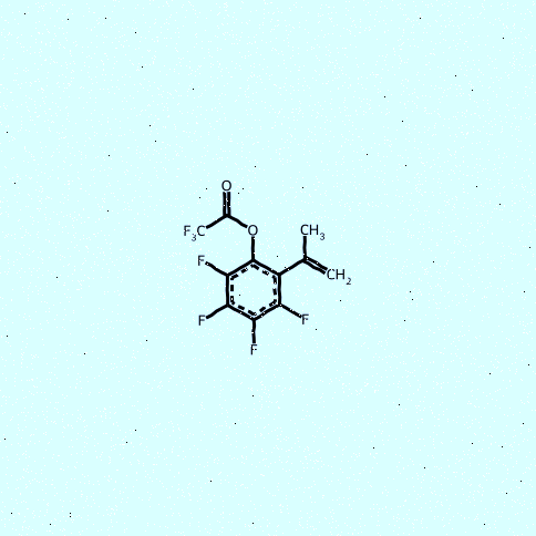 C=C(C)c1c(F)c(F)c(F)c(F)c1OC(=O)C(F)(F)F